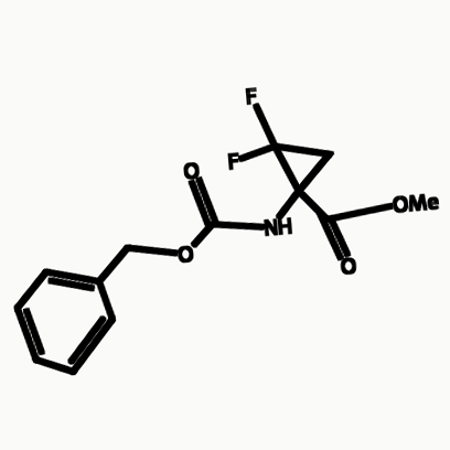 COC(=O)C1(NC(=O)OCc2ccccc2)CC1(F)F